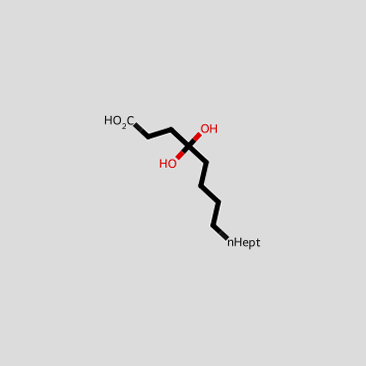 CCCCCCCCCCCC(O)(O)CCC(=O)O